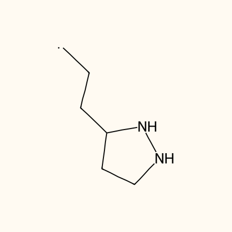 [CH2]CCC1CCNN1